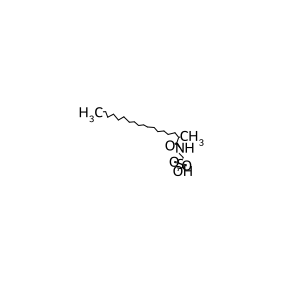 CCCCCCCCCCCCCCCCC(C)C(=O)NCCS(=O)(=O)O